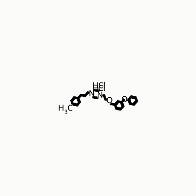 Cc1ccc(CCCN2CCN(CCOCc3cccc(Oc4ccccc4)c3)CC2)cc1.Cl.Cl